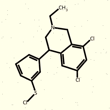 CCN1Cc2c(Cl)cc(Cl)cc2C(c2cccc(SCl)c2)C1